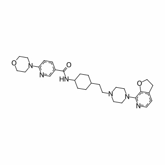 O=C(NC1CCC(CCN2CCN(c3nccc4c3OCC4)CC2)CC1)c1ccc(N2CCOCC2)nc1